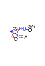 COc1ccccc1N1CCN(CCCCC(N[C@H]2COc3ccccc3N(CC(=O)O)C2=O)C(=O)O)CC1